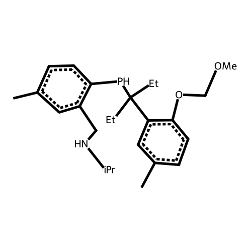 CCC(CC)(Pc1ccc(C)cc1CNC(C)C)c1cc(C)ccc1OCOC